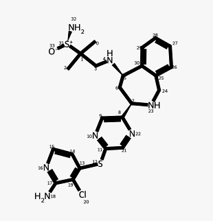 CC(C)(CN[C@@H]1C[C@H](c2cnc(Sc3ccnc(N)c3Cl)cn2)NCc2ccccc21)[S@+](N)[O-]